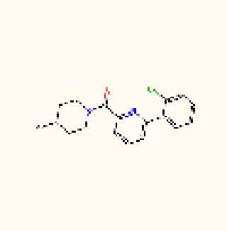 CCCC1CCN(C(=O)c2cccc(-c3ccccc3Cl)n2)CC1